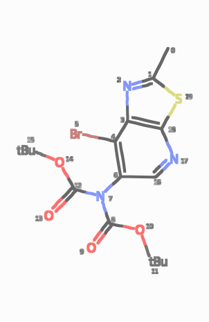 Cc1nc2c(Br)c(N(C(=O)OC(C)(C)C)C(=O)OC(C)(C)C)cnc2s1